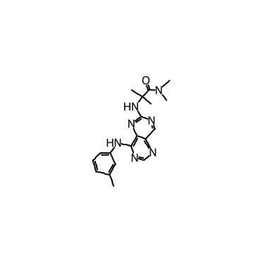 Cc1cccc(Nc2ncnc3cnc(NC(C)(C)C(=O)N(C)C)nc23)c1